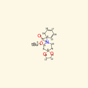 CC(C)(C)OC(=O)C1(N2CCC3(CC2)OCCO3)C=CC=CC1